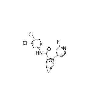 O=C(Nc1ccc(Cl)c(Cl)c1)c1c(-c2ccnc(F)c2)c2oc1c1c2C1